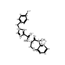 CN1C(=S)[C@@H](NC(=O)c2ncn(Cc3ccc(F)cc3)n2)COc2cccnc21